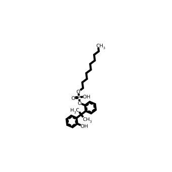 CCCCCCCCCCOP(=O)(O)Oc1ccccc1C(C)(C)c1ccccc1O